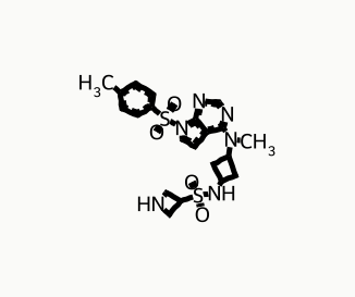 Cc1ccc(S(=O)(=O)n2ccc3c(N(C)C4CC(NS(=O)(=O)C5CNC5)C4)ncnc32)cc1